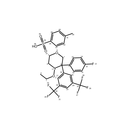 CCON1CCOCC1(c1ccc(F)cc1)c1cc(C(F)(F)F)cc(C(F)(F)F)c1.Cc1ccc(S(=O)(=O)O)cc1